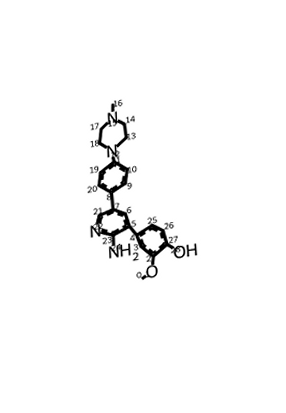 COc1cc(-c2cc(-c3ccc(N4CCN(C)CC4)cc3)cnc2N)ccc1O